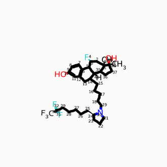 C[C@]12C[C@H](F)C3c4ccc(O)cc4CC(CCCCCN4CCC[C@H]4CCCCCC(F)(F)C(F)(F)F)[C@H]3C1CC[C@@]2(C)O